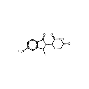 Nc1ccc2c(c1)C(I)N(C1CCC(=O)NC1=O)C2=O